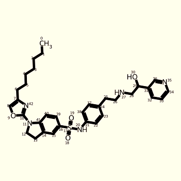 CCCCCCCc1coc(N2CCc3cc(S(=O)(=O)Nc4ccc(CCNCC(O)c5cccnc5)cc4)ccc32)n1